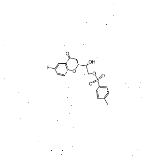 Cc1ccc(S(=O)(=O)OC[C@H](O)[C@@H]2CC(=O)c3cc(F)ccc3O2)cc1